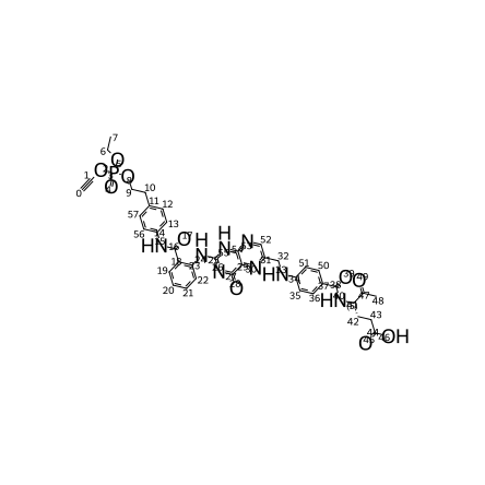 C#COP(=O)(OCC)OCCc1ccc(NC(=O)c2ccccc2Nc2nc(=O)c3nc(CNc4ccc(C(=O)N[C@@H](CCC(=O)O)C(C)=O)cc4)cnc3[nH]2)cc1